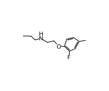 CCCNCCOc1ccc(C)cc1F